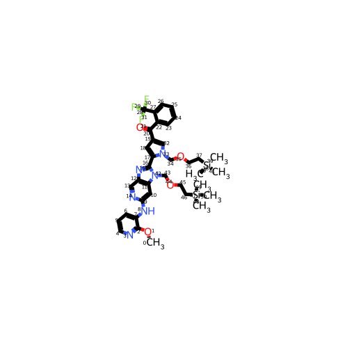 COc1ncccc1Nc1cc2c(cn1)nc(-c1cc(C(=O)c3ccccc3C(F)(F)F)cn1COCC[Si](C)(C)C)n2COCC[Si](C)(C)C